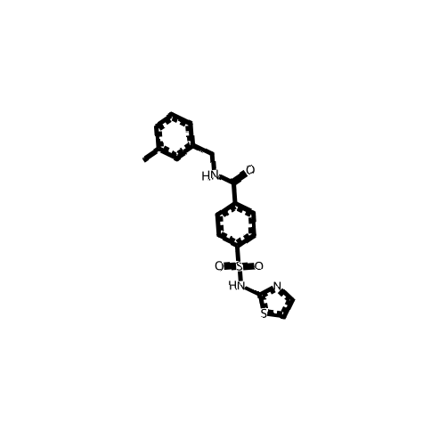 Cc1cccc(CNC(=O)c2ccc(S(=O)(=O)Nc3nccs3)cc2)c1